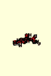 CC1=NCCN([C@H]2CC[C@@H](CNc3ccc(S(=O)(=O)NC(=O)c4ccc(N5CCN(CC6=C(c7ccc(Cl)cc7)CC(C)(C)CC6)CC5)cc4Oc4cnc5[nH]ccc5c4)cc3[NH+]([O-])O)CC2)C1